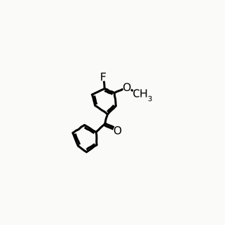 COc1cc(C(=O)c2ccccc2)ccc1F